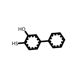 Oc1cc(-c2ccccc2)ccc1S